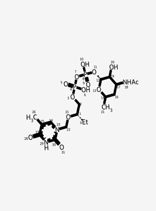 CC[C@@H](COP(=O)(O)OP(=O)(O)O[C@H]1OC(C)CC(NC(C)=O)C1O)OCn1cc(C)c(=O)[nH]c1=O